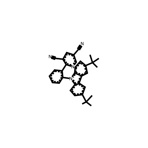 CC(C)(C)c1ccc2c(c1)c1cc(C(C)(C)C)ccc1n2-c1ccccc1-c1ncc(C#N)cc1C#N